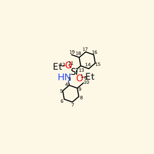 CCO[Si](NC1CCCCC1C)(OCC)C1CCCCC1C